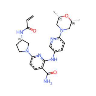 C=CC(=O)N[C@H]1CCN(c2ccc(C(N)=O)c(Nc3ccc(N4C[C@@H](C)O[C@@H](C)C4)nc3)n2)C1